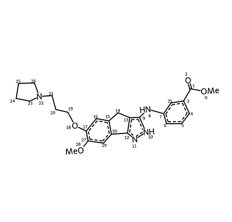 COC(=O)c1cccc(Nc2[nH]nc3c2Cc2cc(OCCCN4CCCC4)c(OC)cc2-3)c1